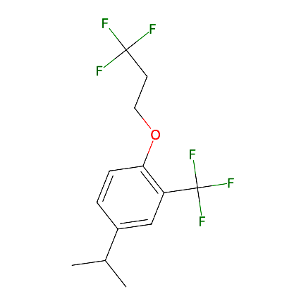 CC(C)c1ccc(OCCC(F)(F)F)c(C(F)(F)F)c1